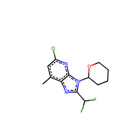 Cc1cc(Cl)nc2c1nc(C(F)F)n2C1CCCCO1